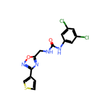 O=C(NCc1nc(-c2ccsc2)no1)Nc1cc(Cl)cc(Cl)c1